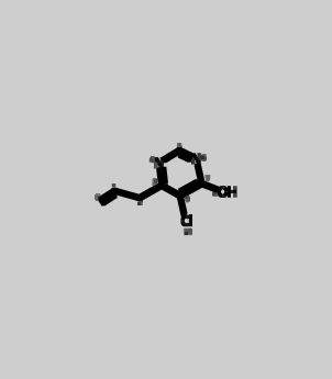 C=CCc1ncnc(O)c1Cl